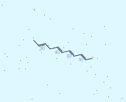 C/C=C/C=C/C=C/C/C=C/C